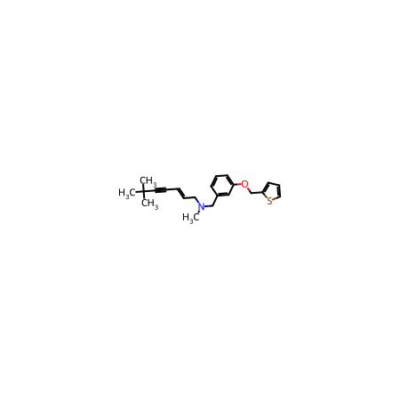 CN(CC=CC#CC(C)(C)C)Cc1cccc(OCc2cccs2)c1